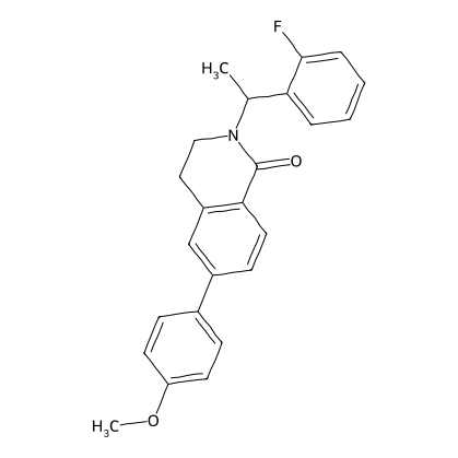 COc1ccc(-c2ccc3c(c2)CCN(C(C)c2ccccc2F)C3=O)cc1